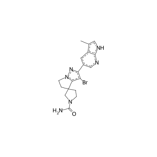 Cc1c[nH]c2ncc(-c3nn4c(c3Br)C3(CCN(C(N)=O)C3)CC4)cc12